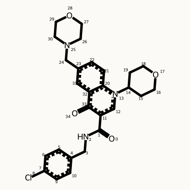 O=C(NCc1ccc(Cl)cc1)c1cn(C2CCOCC2)c2ccc(CN3CCOCC3)cc2c1=O